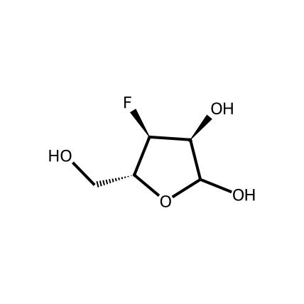 OC[C@H]1OC(O)[C@H](O)[C@@H]1F